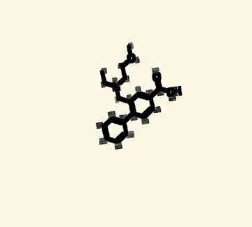 CCN(CCOC)Cc1cc(C(=O)O)ccc1-c1ccccc1